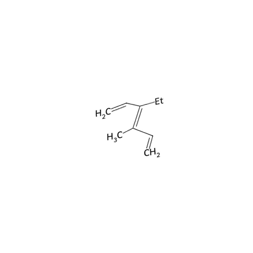 C=CC(C)=C(C=C)CC